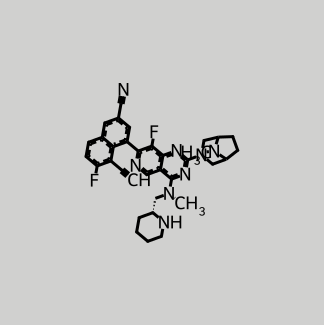 C#Cc1c(F)ccc2cc(C#N)cc(-c3ncc4c(N(C)C[C@H]5CCCCN5)nc(N5CC6CCC(C5)N6C)nc4c3F)c12